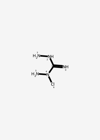 N=C(NN)N(N)Cl